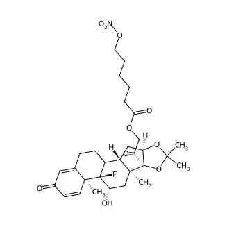 CC1(C)O[C@@H]2C[C@H]3C4CCC5=CC(=O)C=C[C@]5(C)[C@@]4(F)[C@@H](O)C[C@]3(C)[C@]2(C(=O)COC(=O)CCCCCO[N+](=O)[O-])O1